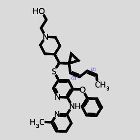 C/C=C\C=C/C1(C(Sc2cnc(NC3=NC(C)=CCC3)c(Oc3ccccc3)c2)C2CCN(CCO)CC2)CC1